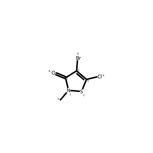 Cn1sc(Cl)c(Br)c1=O